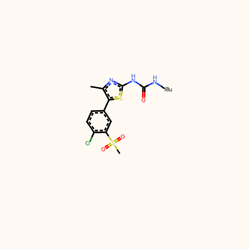 CCC(C)NC(=O)Nc1nc(C)c(-c2ccc(Cl)c(S(C)(=O)=O)c2)s1